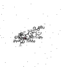 CCCCOC(=O)[C@@H]1[C@@](C)([C@H](C)C(C)C)CC[C@]2(C)[C@H]3CC[C@@H]4[C@@]5(COC[C@]4(C)[C@@H](OC(C)C(N[S+]([O-])C(C)(C)C)C(C)C)[C@H](OC)C5)C3=CC[C@@]12C